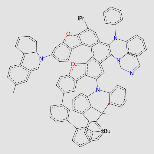 Cc1ccc2c(c1)=CN(c1ccc3c(c1)oc1c(C(C)C)cc4c(N(c5ccccc5)c5ccccc5)c(N5C=CC=NC5)c5cc(N(c6ccccc6)c6cccc7c6C(C)(C)c6ccccc6-7)c6c7cc(-c8cccc(-c9cccc(C(C)(C)C)c9)c8)ccc7oc6c5c4c13)C1C=CC=CC=21